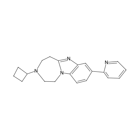 c1ccc(-c2ccc3c(c2)nc2n3CCN(C3CCC3)CC2)nc1